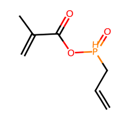 C=CC[PH](=O)OC(=O)C(=C)C